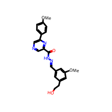 COc1ccc(-c2cncc(C(=O)NN=Cc3cc(CCO)cc(OC)c3)n2)cc1